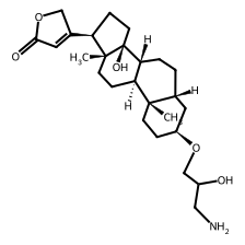 C[C@]12CC[C@H](OCC(O)CN)C[C@H]1CC[C@@H]1[C@@H]2CC[C@]2(C)[C@@H](C3=CC(=O)OC3)CC[C@]12O